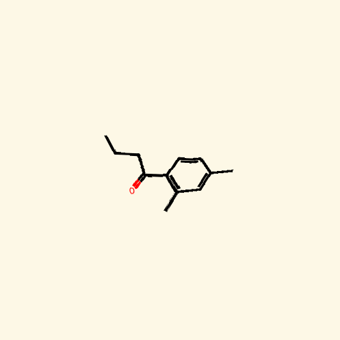 CCCC(=O)c1ccc(C)cc1C